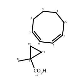 C1=CCCCCC=C1.CC1(C(=O)O)CC1